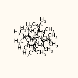 CN(C)C(=N[Si](N=C(N(C)C)N(C)C)(N=C(N(C)C)N(C)C)N=C(N(C)C)N(C)C)N(C)C